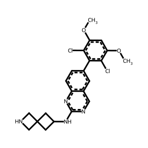 COc1cc(OC)c(Cl)c(-c2ccc3nc(NC4CC5(CNC5)C4)ncc3c2)c1Cl